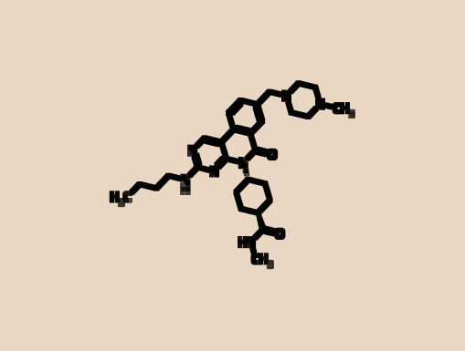 CCCCNc1ncc2c3ccc(CN4CCN(C)CC4)cc3c(=O)n([C@H]3CC[C@H](C(=O)NC)CC3)c2n1